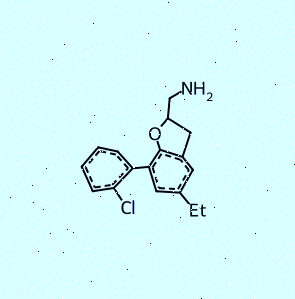 CCc1cc2c(c(-c3ccccc3Cl)c1)OC(CN)C2